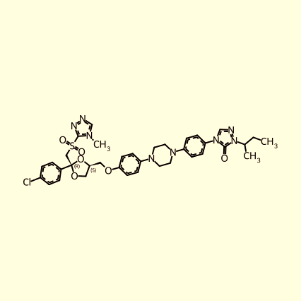 CCC(C)n1ncn(-c2ccc(N3CCN(c4ccc(OC[C@H]5CO[C@](CS(=O)(=O)c6nncn6C)(c6ccc(Cl)cc6)O5)cc4)CC3)cc2)c1=O